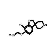 COCOc1ccc2c(c1Cl)OCC21CCNCC1